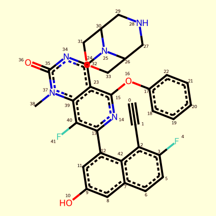 C#Cc1c(F)ccc2cc(O)cc(-c3nc(Oc4ccccc4)c4c(N5C6CNCC5COC6)nc(=O)n(C)c4c3F)c12